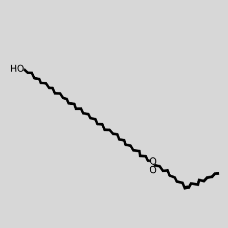 CCCCCCCC/C=C\CCCCCCCC(=O)OCCCCCCCCCCCCCCCCCCCCCCCCCCCCCCCCCCCCO